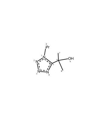 CC(C)n1nnnc1C(C)(C)O